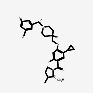 CC1CCN(C(=O)c2cc(C3CC3)c(OCC3(F)CCN([C@@H](C)c4cc(Cl)cc(Cl)c4)CC3)cc2F)[C@@H]1C(=O)O